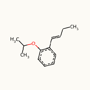 CC/C=C/c1ccccc1OC(C)C